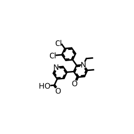 CCn1c(C)cc(=O)c(-c2cncc(C(=O)O)c2)c1-c1ccc(Cl)c(Cl)c1